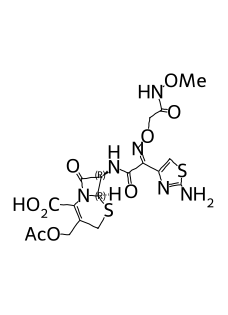 CONC(=O)CON=C(C(=O)N[C@@H]1C(=O)N2C(C(=O)O)=C(COC(C)=O)CS[C@H]12)c1csc(N)n1